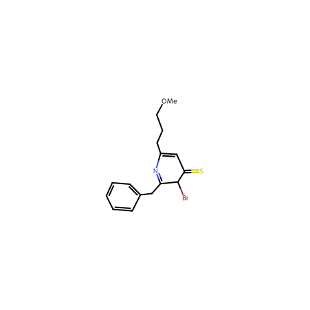 COCCCC1=CC(=S)C(Br)C(Cc2ccccc2)=N1